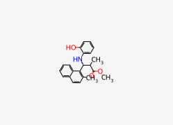 COC(=O)C(C)[C@H](Nc1ccccc1O)c1c(C)ccc2ccccc12